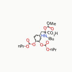 CCCOC(=O)Oc1ccc(C[C@](NC(C)CC)(OC(=O)OC)C(=O)O)cc1OC(=O)OCCC